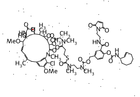 COc1cc2cc(c1Cl)N(C)C(=O)[C@H](OC(=O)[C@H](C)N(C)C(=O)CCSC(=O)N(C)CCN(C)C(=O)OCc1ccc(OC(=O)NC3/C=C/CCCCC3)c(C(=O)NCCN3C(=O)C=CC3=O)c1)[C@]1(C)O[C@H]1[C@H](C)[C@@H]1C[C@@](O)(NC(=O)O1)[C@H](OC)/C=C/C=C(\C)C2